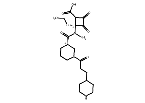 CCO[C@@]1(N(N)C(=O)[C@@H]2CCCN(C(=O)CCC3CCNCC3)C2)C(=O)C(=O)C1C(=O)O